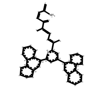 C=C(N)/C=C\C(=C)/C(C)=C/C=C(\C)c1cc(-c2cc3ccccc3c3ccccc23)cc(-c2cc3ccccc3c3ccccc23)n1